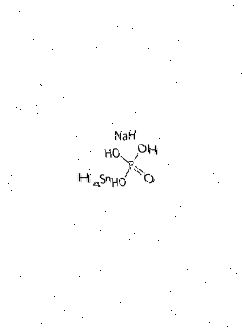 O=P(O)(O)O.[NaH].[SnH4]